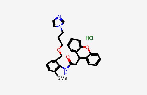 CSc1cccc(COCCCn2ccnc2)c1NC(=O)CC1c2ccccc2Oc2ccccc21.Cl